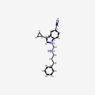 N#Cc1ccc2c(c1)c(C1CC1)cn2CNCCCc1ccccc1